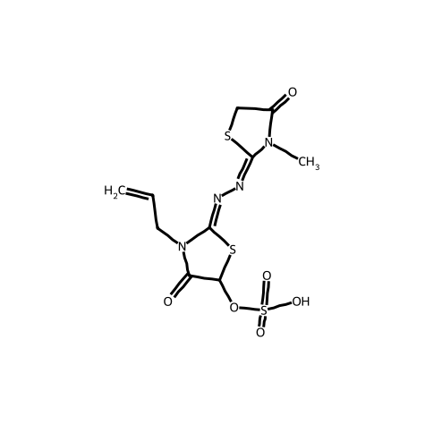 C=CCN1C(=O)C(OS(=O)(=O)O)SC1=NN=C1SCC(=O)N1C